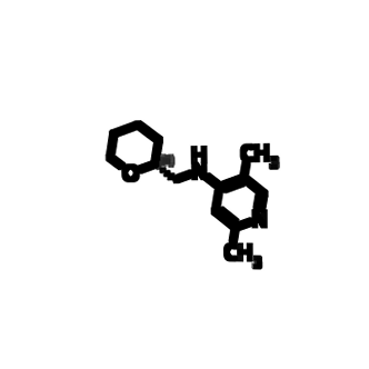 Cc1cc(NC[C@H]2CCCCO2)c(C)cn1